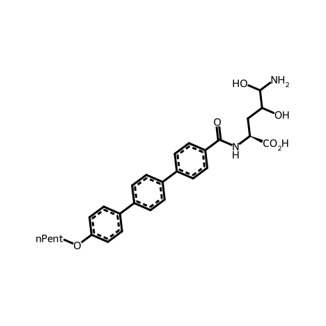 CCCCCOc1ccc(-c2ccc(-c3ccc(C(=O)N[C@@H](CC(O)C(N)O)C(=O)O)cc3)cc2)cc1